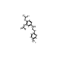 FC(F)Oc1ccc(NCCc2ccc(C(F)(F)F)cn2)cc1OC(F)F